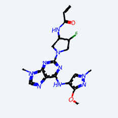 C=CC(=O)NC1CN(c2nc(Nc3cn(C)nc3OC)c3ncn(C)c3n2)CC1F